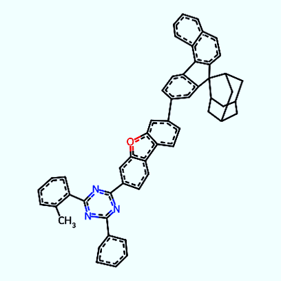 Cc1ccccc1-c1nc(-c2ccccc2)nc(-c2ccc3c(c2)oc2cc(-c4ccc5c(c4)C4(c6ccc7ccccc7c6-5)C5CC6CC(C5)CC4C6)ccc23)n1